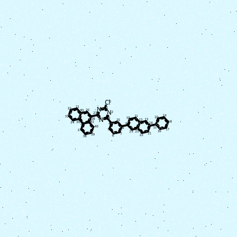 Clc1nc(-c2cccc(-c3ccc4cc(-c5ccccc5)ccc4c3)c2)nc(-c2cc3ccccc3c3ccccc23)n1